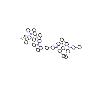 CC1(C)c2ccccc2-c2ccc(N(c3ccccc3-c3ccccc3)c3cccc4c3-c3ccccc3C43c4ccccc4-c4ccc(N(c5cccc(-c6ccc(-c7ccc(N(c8ccc(-c9ccccc9)cc8)c8cccc9c8-c8ccccc8C98c9ccccc9-c9ccc(N(c%10ccc(-c%11ccccc%11)cc%10)c%10ccc(-c%11ccccc%11)cc%10)cc98)cc7)cc6)c5)c5ccccc5-c5ccccc5)cc43)cc21